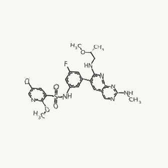 CNc1ncc2cc(-c3cc(F)cc(NS(=O)(=O)c4cc(Cl)cnc4OC)c3)c(NC[C@@H](C)OC)nc2n1